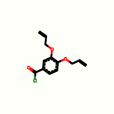 C=CCOc1ccc(C(=O)Cl)cc1OCC=C